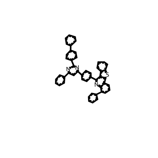 c1ccc(-c2ccc(-c3nc(-c4ccccc4)cc(-c4ccc(-c5nc6c(-c7ccccc7)cccc6c6sc7ccccc7c56)cc4)n3)cc2)cc1